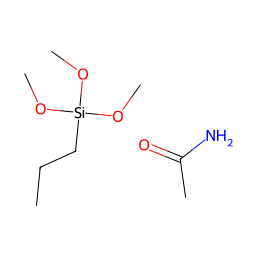 CC(N)=O.CCC[Si](OC)(OC)OC